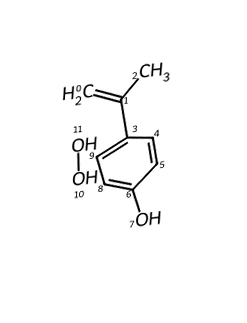 C=C(C)c1ccc(O)cc1.OO